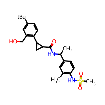 Cc1cc(C(C)NC(=O)C2CC2c2ccc(C(C)(C)C)cc2CO)ccc1NS(C)(=O)=O